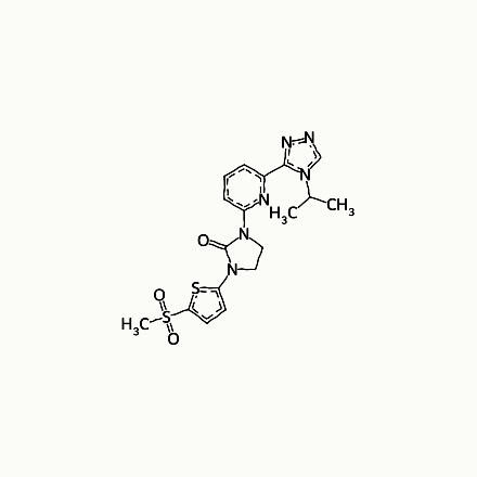 CC(C)n1cnnc1-c1cccc(N2CCN(c3ccc(S(C)(=O)=O)s3)C2=O)n1